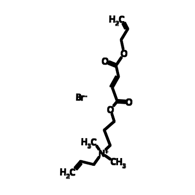 C=CCOC(=O)C=CC(=O)OCCC[N+](C)(C)CC=C.[Br-]